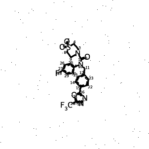 O=C(N1CCS(=O)(=O)CC1)N(Cc1ccc(-c2nnc(C(F)(F)F)o2)cc1)c1ccc(F)cc1